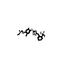 CCN(C)C=Nc1cc(C)c(Oc2nc(Cc3ccccc3C(F)(F)F)ns2)cc1C